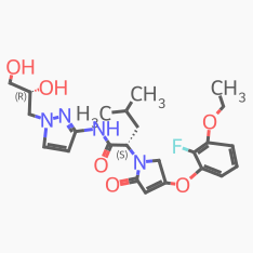 CCOc1cccc(OC2=CC(=O)N([C@@H](CC(C)C)C(=O)Nc3ccn(C[C@@H](O)CO)n3)C2)c1F